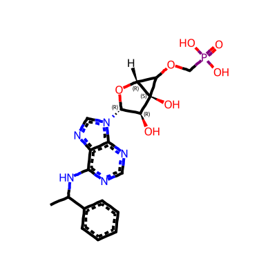 CC(Nc1ncnc2c1ncn2[C@@H]1O[C@@H]2C(OCP(=O)(O)O)[C@]2(O)[C@H]1O)c1ccccc1